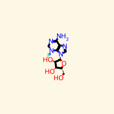 NC1=NCN(F)c2c1ncn2[C@@H]1O[C@H](CO)[C@H](O)[C@H]1O